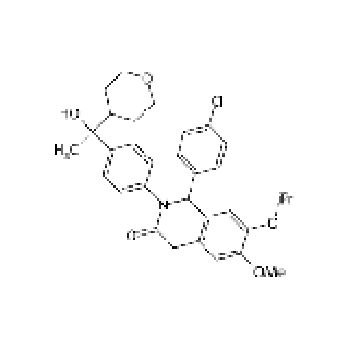 COc1cc2c(cc1OC(C)C)C(c1ccc(Cl)cc1)N(c1ccc([C@@](C)(O)C3CCOCC3)cc1)C(=O)C2